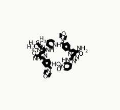 CC(C)(C)c1nc(NC2CCCCNC2)c2nc(-c3ccc(CN4CCOCC4)cc3)cc(C(N)=O)c2n1.NC(=O)c1cc(-c2ccc(CN3CCOCC3)cc2)nc2c(NC3CCCCN(C(=O)O)C3)ncnc12